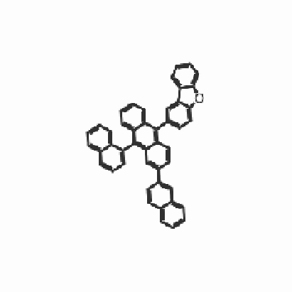 c1ccc2cc(-c3ccc4c(-c5ccc6oc7ccccc7c6c5)c5ccccc5c(-c5cccc6ccccc56)c4c3)ccc2c1